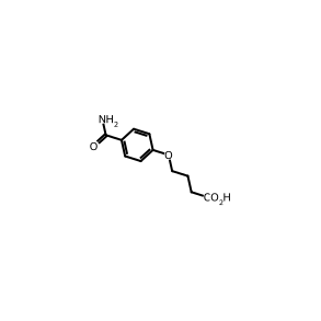 NC(=O)c1ccc(OCCCC(=O)O)cc1